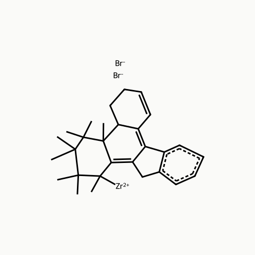 C[C]1([Zr+2])C2=C3Cc4ccccc4C3=C3C=CCCC3C2(C)C(C)(C)C(C)(C)C1(C)C.[Br-].[Br-]